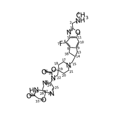 CNCc1nc2c(F)c3c(cc2o1)CC(CN1CCC2(CC1)CN(c1cnc4c(n1)NC(=O)CO4)C(=O)O2)C3